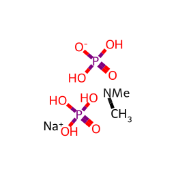 CNC.O=P(O)(O)O.O=P([O-])(O)O.[Na+]